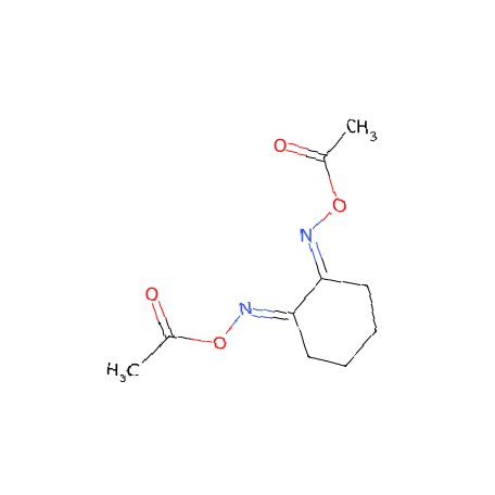 CC(=O)ON=C1CCCCC1=NOC(C)=O